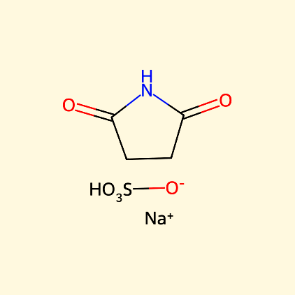 O=C1CCC(=O)N1.O=S(=O)([O-])O.[Na+]